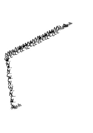 [Au+3].[Au+3].[Au+3].[Au+3].[Au+3].[C-]#N.[C-]#N.[C-]#N.[C-]#N.[C-]#N.[C-]#N.[C-]#N.[C-]#N.[C-]#N.[C-]#N.[C-]#N.[C-]#N.[C-]#N.[C-]#N.[C-]#N.[C-]#N.[C-]#N.[C-]#N.[C-]#N.[C-]#N.[C-]#N.[C-]#N.[C-]#N.[C-]#N.[C-]#N.[C-]#N.[C-]#N.[C-]#N.[C-]#N.[C-]#N